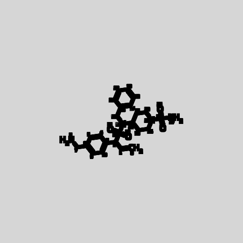 C=CC(c1ccc(CN)cc1)S(=O)(=O)N(Cc1ccccc1)C1CCN(S(N)(=O)=O)CC1